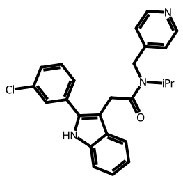 CC(C)N(Cc1ccncc1)C(=O)Cc1c(-c2cccc(Cl)c2)[nH]c2ccccc12